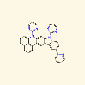 c1ccc(-c2ccc3c(c2)c2cc4c(cc2n3-c2ncccn2)N(c2ncccn2)c2cccc3cccc-4c23)nc1